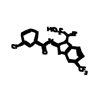 CCC(C(=O)O)n1/c(=N/C(=O)c2cccc(Cl)c2)sc2cc(C(F)(F)F)ccc21